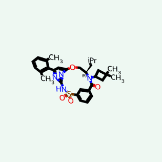 Cc1cccc(C)c1-c1cc2nc(n1)NS(=O)(=O)c1cccc(c1)C(=O)N(C1CC(C)(C)C1)[C@H](CC(C)C)CO2